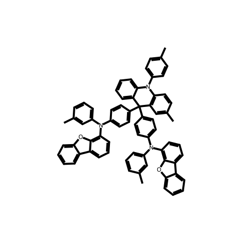 Cc1ccc(N2c3ccccc3C(c3ccc(N(c4cccc(C)c4)c4cccc5c4oc4ccccc45)cc3)(c3ccc(N(c4cccc(C)c4)c4cccc5c4oc4ccccc45)cc3)c3cc(C)ccc32)cc1